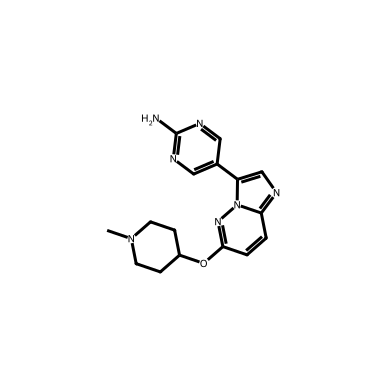 CN1CCC(Oc2ccc3ncc(-c4cnc(N)nc4)n3n2)CC1